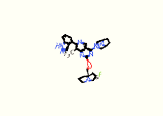 F[C@@H]1CN2CCC[C@]2(COc2nc(N3CC4CCC(C3)N4)c3cnc(-c4cccc5[nH]ncc45)c(C(F)(F)F)c3n2)C1